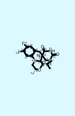 CC(C)[C@@H]1O[C@H](C)CN2c3cc(F)c(F)cc3CC3(C(=O)NC(=O)NC3=O)[C@@H]12